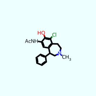 CC(=O)Nc1cc2c(c(Cl)c1O)CCN(C)CC2c1ccccc1